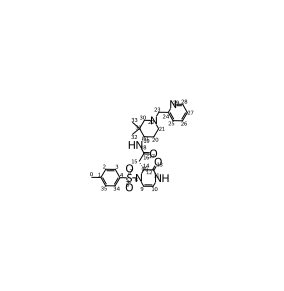 Cc1ccc(S(=O)(=O)N2C=CNC(=O)[C@H]2CC(=O)N[C@H]2CCN(Cc3ccccn3)CC2(C)C)cc1